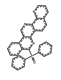 O=P(c1ccccc1)(c1ccccc1)c1nc2c(cnc3c2ccc2cccnc23)c2ccccc12